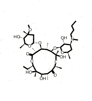 CCCCN(C)[C@H]1C[C@@H](C)O[C@@H](O[C@@H]2[C@@H](C)[C@H](O[C@H]3C[C@@](C)(OC)[C@@H](O)[C@H](C)O3)[C@@H](C)C(=O)O[C@H](CC)[C@@](C)(O)[C@H](O)[C@@H](C)C(=O)[C@H](C)C[C@@]2(C)O)[C@@H]1O